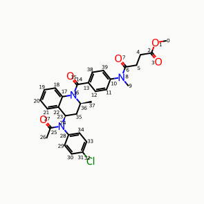 COC(=O)CCC(=O)N(C)c1ccc(C(=O)N2c3ccccc3[C@H](N(C(C)=O)c3ccc(Cl)cc3)C[C@@H]2C)cc1